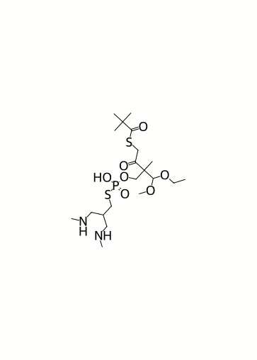 CCOC(OC)C(C)(COP(=O)(O)SCC(CNC)CNC)C(=O)CSC(=O)C(C)(C)C